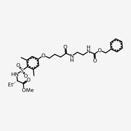 CC[C@H](NS(=O)(=O)c1c(C)cc(OCCCC(=O)NCCNC(=O)OCc2ccccc2)cc1C)C(=O)OC